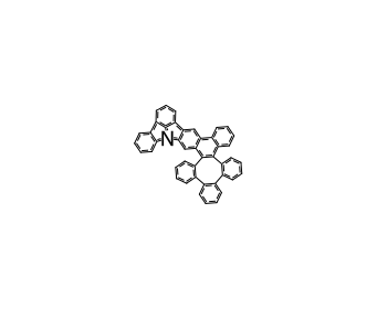 c1ccc2c(c1)-c1ccccc1-c1c(c3cc4c(cc3c3ccccc13)c1cccc3c5ccccc5n4c31)-c1ccccc1-2